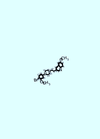 COc1ccc2ncc(CCN3CCN(c4ccc(Br)c(OC)c4)CC3)cc2c1